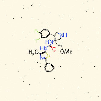 COCC[C@@]1(NC(=O)Nc2sc(-c3ccccc3)nc2C)CNC[C@H]1c1ccc(F)c(F)c1